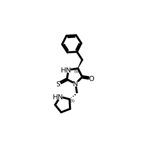 O=C1[C@H](Cc2ccccc2)NC(=S)N1C[C@@H]1CCCN1